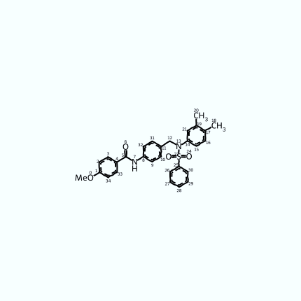 COc1ccc(C(=O)Nc2ccc(CN(c3ccc(C)c(C)c3)S(=O)(=O)c3ccccc3)cc2)cc1